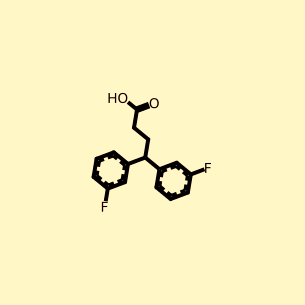 O=C(O)CCC(c1cccc(F)c1)c1cccc(F)c1